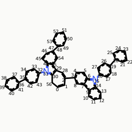 C1=CC(c2ccc3c(c2)c2ccccc2n3-c2ccc(-c3ccccc3)cc2)=Cc2c(n(-c3ccc(-c4ccccc4)cc3)c3ccc(-c4ccccc4)cc23)C1